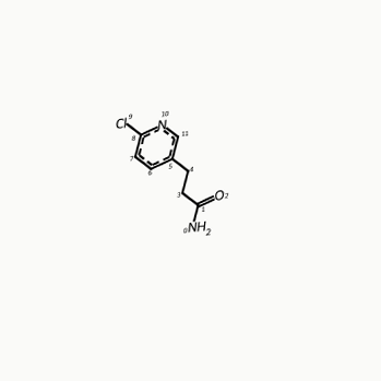 NC(=O)CCc1ccc(Cl)nc1